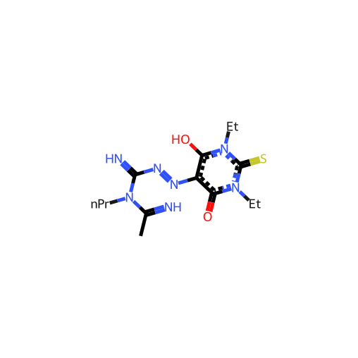 CCCN(C(C)=N)C(=N)N=Nc1c(O)n(CC)c(=S)n(CC)c1=O